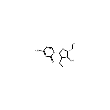 CSC1C(O)[C@@H](CO)O[C@H]1n1ccc(N)nc1=O